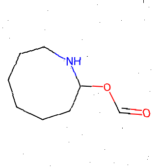 O=COC1CCCCCCN1